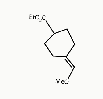 CCOC(=O)C1CCC(=COC)CC1